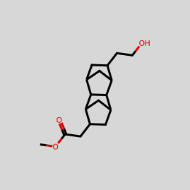 COC(=O)CC1CC2CC1C1C3CC(CCO)C(C3)C21